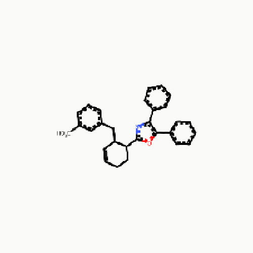 O=C(O)c1cccc(CC2C=CCCC2c2nc(-c3ccccc3)c(-c3ccccc3)o2)c1